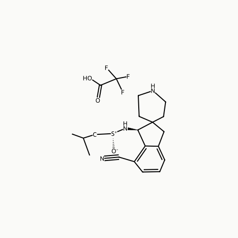 CC(C)C[S@@+]([O-])N[C@@H]1c2c(C#N)cccc2CC12CCNCC2.O=C(O)C(F)(F)F